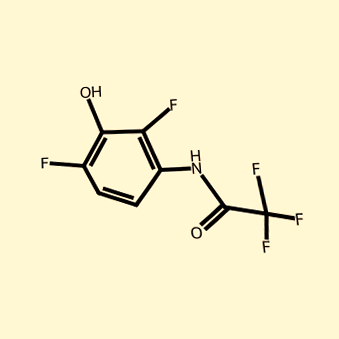 O=C(Nc1ccc(F)c(O)c1F)C(F)(F)F